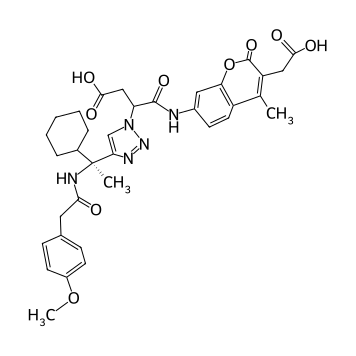 COc1ccc(CC(=O)N[C@](C)(c2cn(C(CC(=O)O)C(=O)Nc3ccc4c(C)c(CC(=O)O)c(=O)oc4c3)nn2)C2CCCCC2)cc1